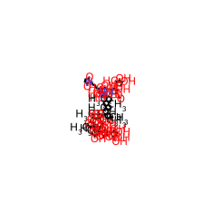 CC1OC(OC(C)[C@]23CCC(C)(C)CC2C2=CCC4[C@@]5(C)CC[C@H](OC6OC(OC=O)C(O)C(OC7OCC(O)C(O)C7O)C6OC6OC(CO)C(O)C(O)C6O)[C@@](C)(/C=N/NC(=O)CCCCCN6C(=O)C=CC6=O)C5CC[C@@]4(C)[C@]2(C)C[C@H]3O)C(OC2OC(C)C(OC3OCC(O)C(OC4OC(CO)C(O)C(O)C4O)C3O)C(O)C2O)CC1OC1OC(C)C(C)C(OC2OCC(O)C(O)C2O)C1O